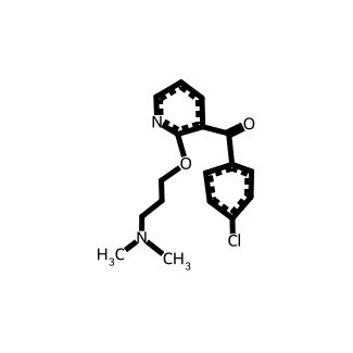 CN(C)CCCOc1ncccc1C(=O)c1ccc(Cl)cc1